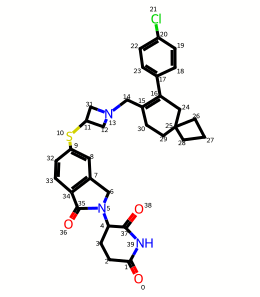 O=C1CCC(N2Cc3cc(SC4CN(CC5=C(c6ccc(Cl)cc6)CC6(CCC6)CC5)C4)ccc3C2=O)C(=O)N1